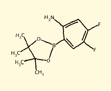 CC1(C)OB(c2cc(F)c(F)cc2N)OC1(C)C